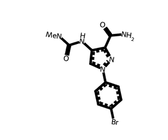 CNC(=O)Nc1cn(-c2ccc(Br)cc2)nc1C(N)=O